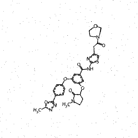 Cc1nnc(-c2ccc(Oc3cc(OC4CCN(C)C4=O)cc(C(=O)Nc4nc(CC(=O)N5CCOCC5)cs4)c3)cc2)o1